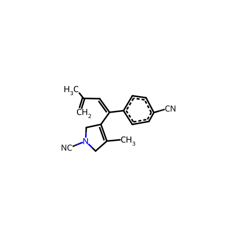 C=C(C)/C=C(\C1=C(C)CN(C#N)C1)c1ccc(C#N)cc1